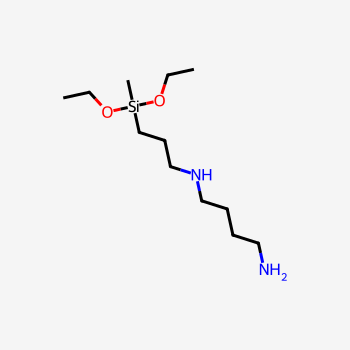 CCO[Si](C)(CCCNCCCCN)OCC